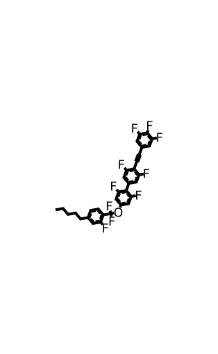 CCCCCc1ccc(C(F)(F)Oc2cc(F)c(-c3cc(F)c(C#Cc4cc(F)c(F)c(F)c4)c(F)c3)c(F)c2)c(F)c1